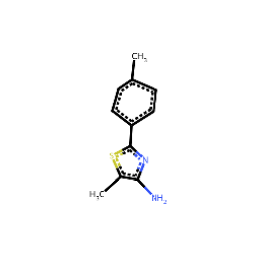 Cc1ccc(-c2nc(N)c(C)s2)cc1